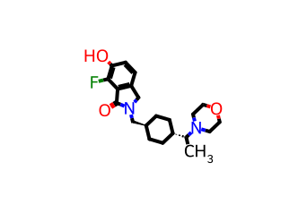 CC([C@H]1CC[C@H](CN2Cc3ccc(O)c(F)c3C2=O)CC1)N1CCOCC1